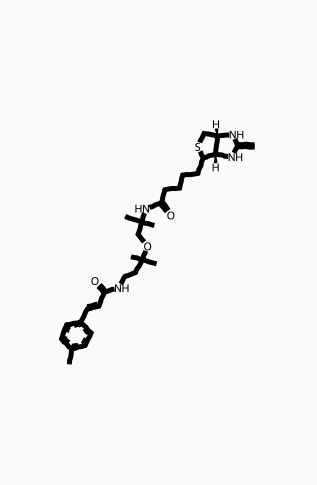 C=C1N[C@H]2CSC(CCCCC(=O)NC(C)(C)COC(C)(C)CCNC(=O)/C=C/c3ccc(C)cc3)[C@H]2N1